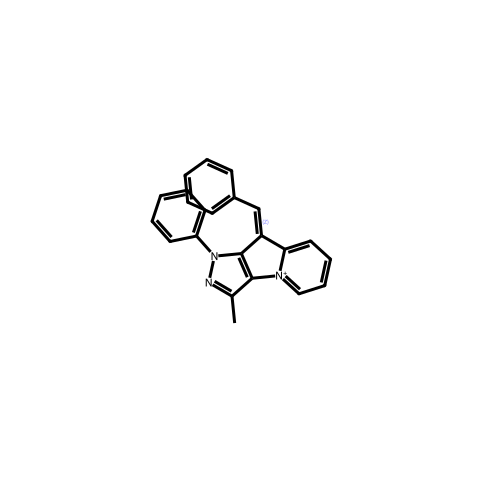 Cc1nn(-c2ccccc2)c2c1-[n+]1ccccc1/C2=C/c1ccccc1